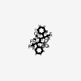 O=S1OC(c2ccccc2)(C(F)(F)F)C2=C1C(c1ccccc1)(C(F)(F)F)OS2(=O)=O